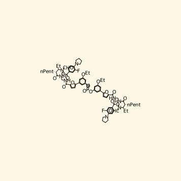 CCCCC[C@@H](C(=O)NCNC(=O)c1ccc(-c2cc(OCC)cc(O[PH](=O)Oc3cc(OCC)cc(-c4ccc(C(=O)NCNC(=O)[C@H](CCCCC)[C@@H](CC)N(C=O)OC(=O)c5ccc(N6CCCC6)c(F)c5)o4)c3)c2)o1)[C@@H](CC)N(C=O)OC(=O)c1ccc(N2CCCC2)c(F)c1